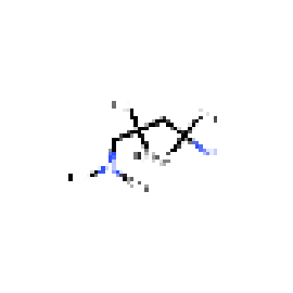 CN(C)CC(C)(C)CC(C)(C)N